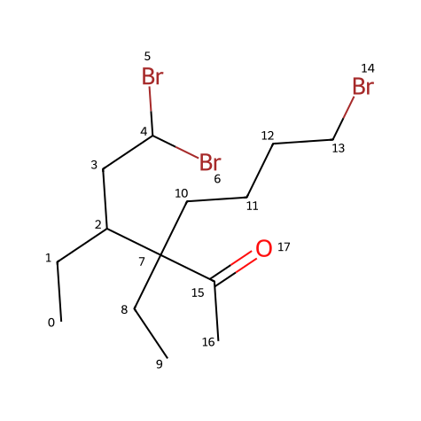 CCC(CC(Br)Br)C(CC)(CCCCBr)C(C)=O